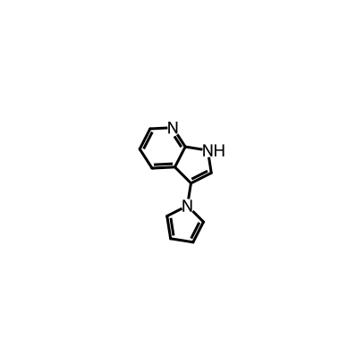 c1cnc2[nH]cc(-n3cccc3)c2c1